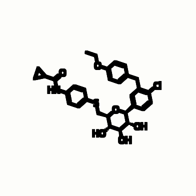 CCOc1ccc(Cc2cc([C@@H]3O[C@H](CSc4ccc(NC(=O)C5CC5)cc4)[C@@H](O)[C@H](O)[C@H]3O)ccc2Cl)cc1